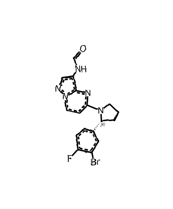 O=CNc1cnn2ccc(N3CCC[C@@H]3c3ccc(F)c(Br)c3)nc12